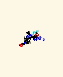 COCCN1C[C@@H]2[C@H](C1)[C@H]2c1cc(-c2cnc(N)c(OC(F)F)c2)nc(C2CC2)n1